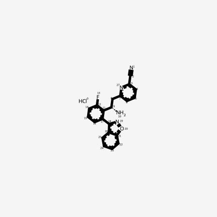 Cl.N#Cc1cccc(C[C@H](N)c2c(F)cccc2-c2noc3ccccc23)n1